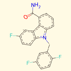 NC(=O)c1cccc2c1c1[c]c(F)ccc1n2Cc1cc(F)ccc1F